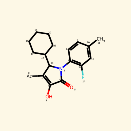 CC(=O)C1=C(O)C(=O)N(c2ccc(C)cc2F)C1C1CCCCC1